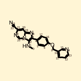 CNc1c(-c2ccc(OCc3cccnc3)cc2)nc2cc(C#N)ncn12